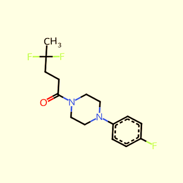 CC(F)(F)CCC(=O)N1CCN(c2ccc(F)cc2)CC1